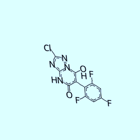 O=c1[nH]c2nc(Cl)nn2c(O)c1-c1c(F)cc(F)cc1F